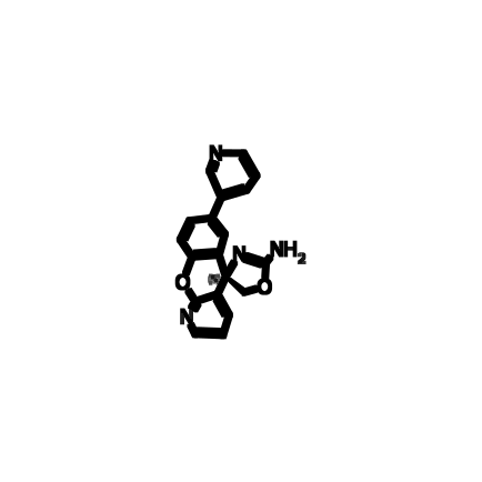 NC1=N[C@@]2(CO1)c1cc(-c3cccnc3)ccc1Oc1ncccc12